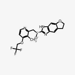 Cc1c(OCC(F)(F)F)ccnc1C[S+]([O-])c1nc2cc3c(cc2[nH]1)OCC3